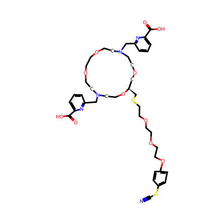 N#CSc1ccc(OCCOCCOCCSC[C@@H]2COCCN(Cc3cccc(C(=O)O)n3)CCOCCOCCN(Cc3cccc(C(=O)O)n3)CCO2)cc1